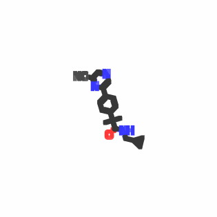 CC(C)(C(=O)NCC1CC1)c1ccc(-c2cncc(C#N)n2)cc1